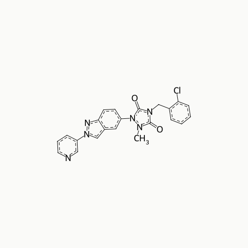 Cn1c(=O)n(Cc2ccccc2Cl)c(=O)n1-c1ccc2nn(-c3cccnc3)cc2c1